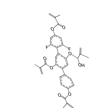 C=C(C)C(=O)Oc1ccc(-c2cc(OC(O)C(=C)C)c(-c3c(F)cc(OC(=O)C(=C)C)cc3F)cc2OC(=O)C(=C)C)cc1